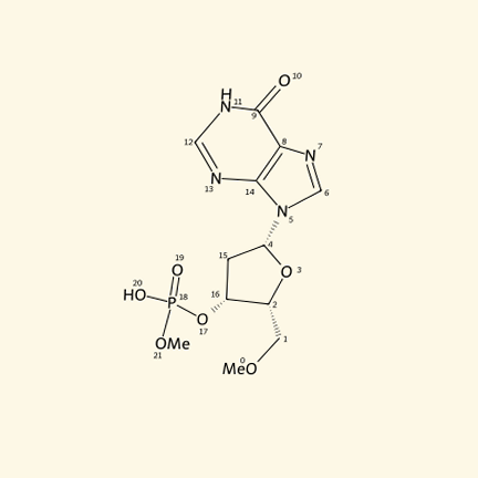 COC[C@H]1O[C@@H](n2cnc3c(=O)[nH]cnc32)C[C@H]1OP(=O)(O)OC